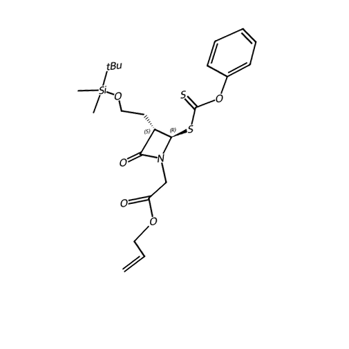 C=CCOC(=O)CN1C(=O)[C@H](CCO[Si](C)(C)C(C)(C)C)[C@H]1SC(=S)Oc1ccccc1